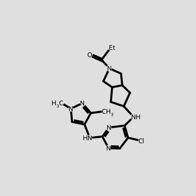 CCC(=O)N1CC2CC(Nc3nc(Nc4cn(C)nc4C)ncc3Cl)CC2C1